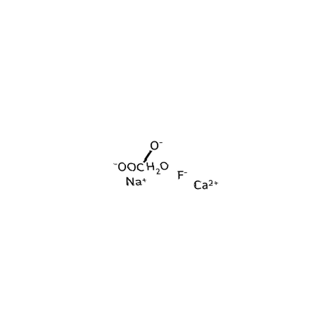 O.O=C([O-])[O-].[Ca+2].[F-].[Na+]